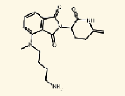 C=C1CCC(N2C(=O)c3cccc(N(C)CCCCN)c3C2=O)C(=O)N1